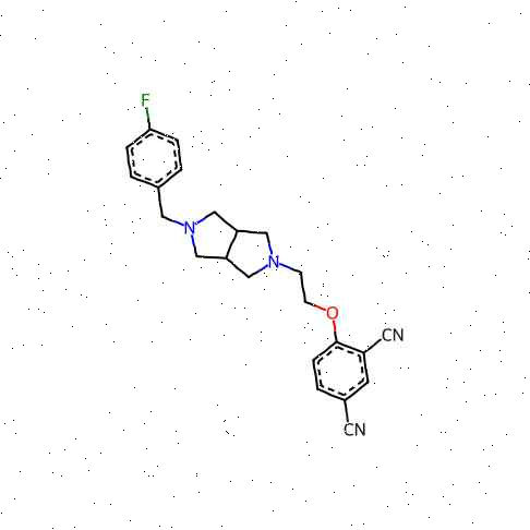 N#Cc1ccc(OCCN2CC3CN(Cc4ccc(F)cc4)CC3C2)c(C#N)c1